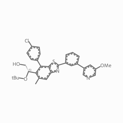 COc1cncc(-c2cccc(-c3nc4cc(C)c([C@@H](CO)OC(C)(C)C)c(-c5ccc(Cl)cc5)c4s3)c2)c1